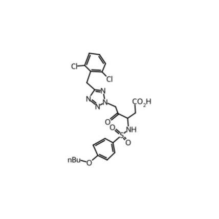 CCCCOc1ccc(S(=O)(=O)NC(CC(=O)O)C(=O)Cn2nnc(Cc3c(Cl)cccc3Cl)n2)cc1